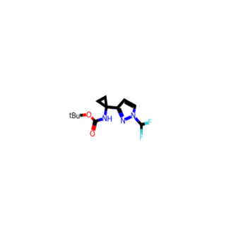 CC(C)(C)OC(=O)NC1(c2ccn(C(F)F)n2)CC1